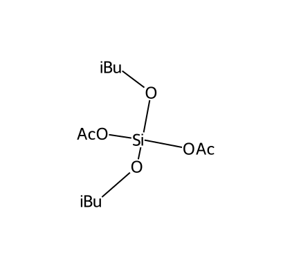 CCC(C)O[Si](OC(C)=O)(OC(C)=O)OC(C)CC